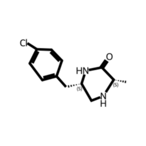 C[C@@H]1NC[C@H](Cc2ccc(Cl)cc2)NC1=O